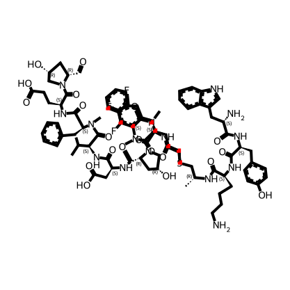 CCCC[C@@H](C(=O)N1C[C@H](O)C[C@@H]1C(=O)N[C@@H](CC(=O)O)C(=O)N[C@H](C(=O)N(C)[C@@H](Cc1ccccc1)C(=O)N[C@@H](CCC(=O)O)C(=O)N1C[C@H](O)C[C@@H]1C=O)C(C)C)N(C)C(=O)[C@H](Cc1ccccc1)N(C)C(=O)[C@H](Cc1cc(F)c(F)c(F)c1)NC(=O)CSC[C@@H](C)NC(=O)[C@H](CCCCN)NC(=O)[C@H](Cc1ccc(O)cc1)NC(=O)[C@@H](N)Cc1c[nH]c2ccccc12